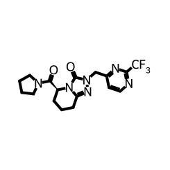 O=C([C@@H]1CCCc2nn(Cc3ccnc(C(F)(F)F)n3)c(=O)n21)N1CCCC1